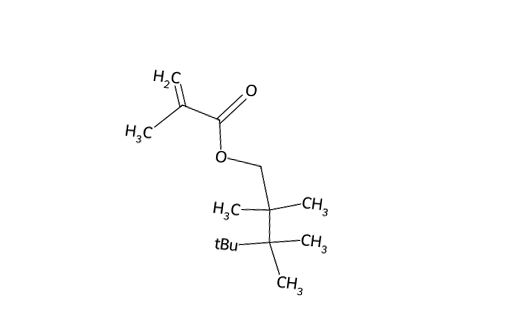 C=C(C)C(=O)OCC(C)(C)C(C)(C)C(C)(C)C